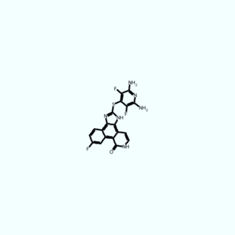 Nc1nc(N)c(F)c(Sc2nc3c4ccc(F)cc4c4c(=O)[nH]ccc4c3[nH]2)c1F